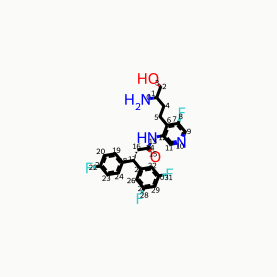 NC(CO)CCc1c(F)cncc1NC(=O)C[C@@H](c1ccc(F)cc1)c1cc(F)cc(F)c1